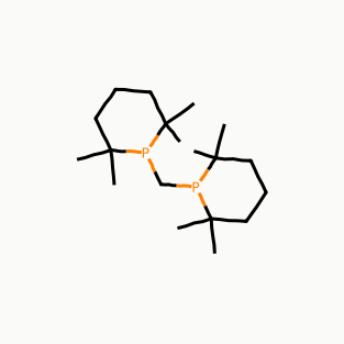 CC1(C)CCCC(C)(C)P1CP1C(C)(C)CCCC1(C)C